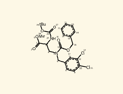 COC(=O)C(CN(Cc1ccc(Cl)c(Cl)c1)C(=O)OCc1ccccc1)NC(=O)OC(C)(C)C